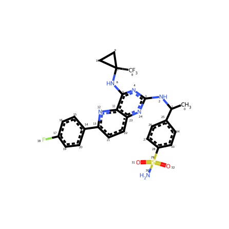 CC(Nc1nc(NC2(C(F)(F)F)CC2)c2nc(-c3ccc(F)cc3)ccc2n1)c1ccc(S(N)(=O)=O)cc1